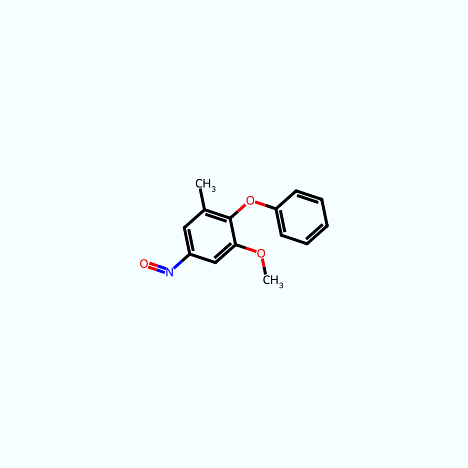 COc1cc(N=O)cc(C)c1Oc1ccccc1